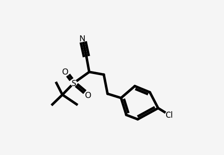 CC(C)(C)S(=O)(=O)C(C#N)CCc1ccc(Cl)cc1